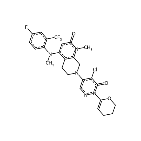 CN(c1ccc(F)cc1C(F)(F)F)c1cc(=O)n(C)c2c1CCN(c1cnn(C3=CCCCO3)c(=O)c1Cl)C2